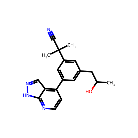 CC(O)Cc1cc(-c2ccnc3[nH]ncc23)cc(C(C)(C)C#N)c1